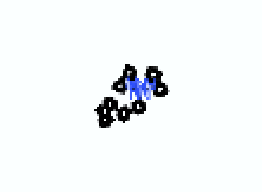 CC1(C)c2ccccc2-c2c(-c3cccc(-c4cccc(-c5nc(-n6c7ccccc7c7ccccc76)nc(-n6c7ccccc7c7ccccc76)n5)c4)c3)cccc21